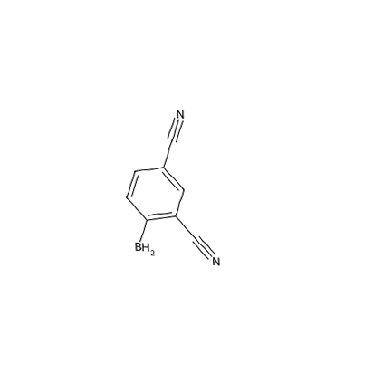 Bc1ccc(C#N)cc1C#N